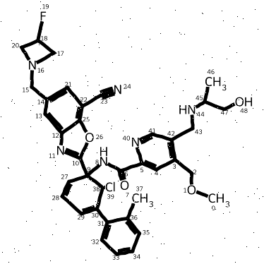 COCc1cc(C(=O)NC2(c3nc4cc(CN5CC(F)C5)cc(C#N)c4o3)C=CC=C(c3ccccc3C)C2Cl)ncc1CNC(C)CO